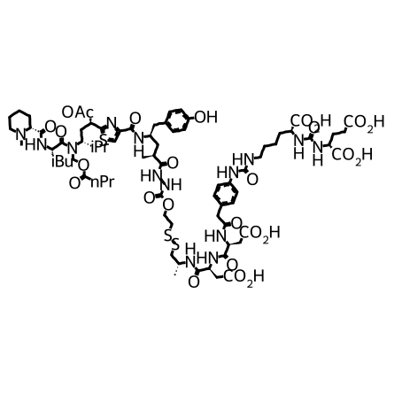 CCCC(=O)OCN(C(=O)[C@@H](NC(=O)[C@H]1CCCCN1C)C(C)CC)[C@H](C[C@@H](OC(C)=O)c1nc(C(=O)N[C@@H](Cc2ccc(O)cc2)C[C@H](C)C(=O)NNC(=O)OCCSSC[C@@H](C)NC(=O)[C@H](CC(=O)O)NC(=O)[C@H](CC(=O)O)NC(=O)Cc2ccc(NC(=O)NCCCC[C@H](NC(=O)N[C@@H](CCC(=O)O)C(=O)O)C(=O)O)cc2)cs1)C(C)C